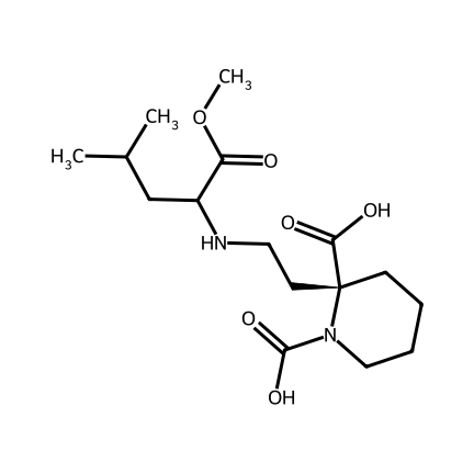 COC(=O)C(CC(C)C)NCC[C@@]1(C(=O)O)CCCCN1C(=O)O